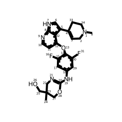 CN1CC=C(c2c[nH]c3nccc(Oc4c(F)cc(NC5=NCC(C)(CO)CO5)cc4F)c23)CC1